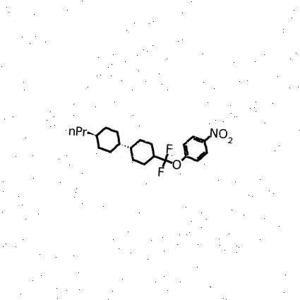 CCC[C@H]1CC[C@H](C2CCC(C(F)(F)Oc3ccc([N+](=O)[O-])cc3)CC2)CC1